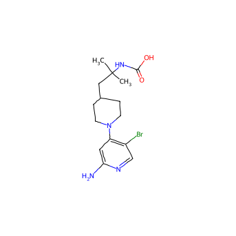 CC(C)(CC1CCN(c2cc(N)ncc2Br)CC1)NC(=O)O